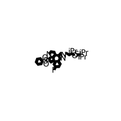 CC(C)[Si](OCCCn1cc(-c2ccnc3c2ccn3S(=O)(=O)c2ccccc2)c(-c2ccc(F)cc2)n1)(C(C)C)C(C)C